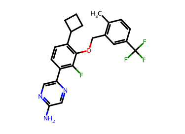 Cc1ccc(C(F)(F)F)cc1COc1c(C2CCC2)ccc(-c2cnc(N)cn2)c1F